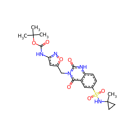 CC1(NS(=O)(=O)c2ccc3[nH]c(=O)n(Cc4cc(NC(=O)OC(C)(C)C)no4)c(=O)c3c2)CC1